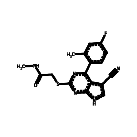 CNC(=O)CSc1nc(-c2ccc(F)cc2C)c2c(C#N)c[nH]c2n1